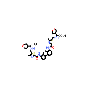 Cc1nc(C(=O)Nc2cccc(-c3cccc(NC(=O)c4nc(C)c(CN[C@H](C(=O)O)C5CCOCC5)s4)c3C)c2C)sc1CN[C@H](C(=O)O)C1CCOCC1